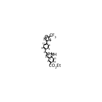 CCOC(=O)C1=C/C(=N/NCc2ccc(-c3noc(C(F)(F)F)n3)cc2)C(=N)C=C1